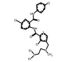 CCN(CC)CCN(C)Cc1csc(C(=O)Nc2ccc(Cl)cc2C(=O)Nc2ccc(Cl)cc2)c1Cl